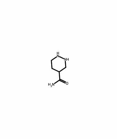 NC(=O)C1CCNNC1